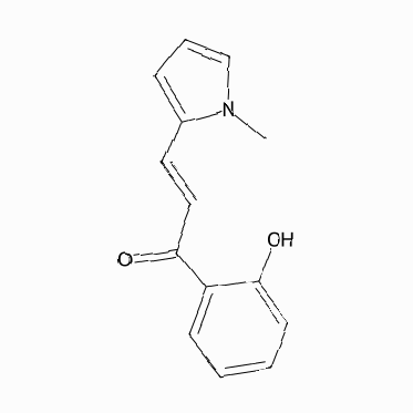 Cn1cccc1C=CC(=O)c1ccccc1O